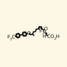 CC(CCCc1ccc(C(=O)NCCC(=O)O)s1)COc1ccc(-c2ccc(C(F)(F)F)cc2)cc1